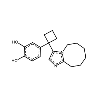 Oc1ccc(C2(c3cnc4n3CCCCCC4)CCC2)cc1O